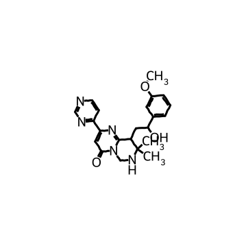 COc1cccc(C(O)CC2c3nc(-c4ccncn4)cc(=O)n3CNC2(C)C)c1